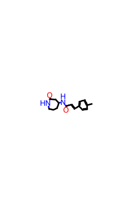 Cc1ccc(C=CC(=O)NC2CCCNC(=O)C2)cc1